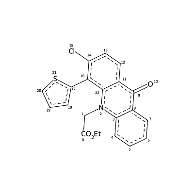 CCOC(=O)Cn1c2ccccc2c(=O)c2ccc(Cl)c(-c3cccs3)c21